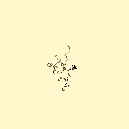 CCCCN(c1ccc(SC)cc1)[C@@H](C)C(=O)[O-].[Na+]